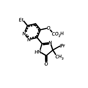 CCc1cc(OC(=O)O)c(C2=NC(C)(C(C)C)C(=O)N2)nn1